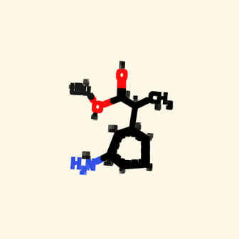 CC(C(=O)OC(C)(C)C)c1cccc(N)c1